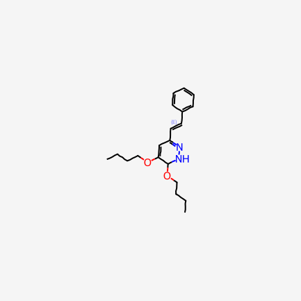 CCCCOC1=CC(/C=C/c2ccccc2)=NNC1OCCCC